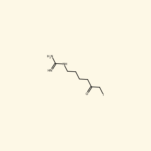 N=C(N)NCCCCC(=O)CI